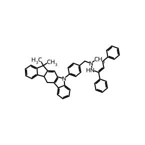 CN(Cc1ccc(-n2c3c(c4ccccc42)CC2C(=C3)C(C)(C)c3ccccc32)cc1)N/C(=C\Cc1ccccc1)c1ccccc1